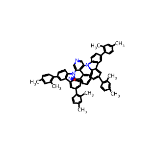 Cc1ccc(-c2ccc3c(c2)c2cc(-c4ccc(C)cc4C)ccc2n3-c2cncc(-n3c4ccc(-c5ccc(C)cc5C)cc4c4cc(-c5ccc(C)cc5C)ccc43)c2-c2ccccc2C#N)c(C)c1